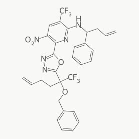 C=CCCC(OCc1ccccc1)(c1nnc(-c2nc(NC(CC=C)c3ccccc3)c(C(F)(F)F)cc2[N+](=O)[O-])o1)C(F)(F)F